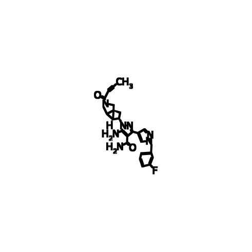 CC#CC(=O)N1CC2[C@@H]3[C@H](n4nc(-c5cnn(Cc6cccc(F)c6)c5)c(C(N)=O)c4N)C[C@]23C1